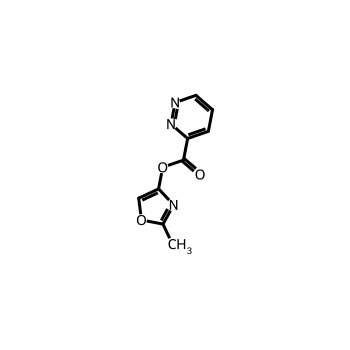 Cc1nc(OC(=O)c2cccnn2)co1